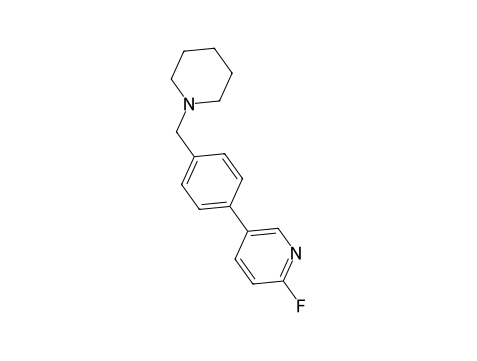 Fc1ccc(-c2ccc(CN3CCCCC3)cc2)cn1